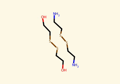 NCCSSCCN.OCCSSCCO